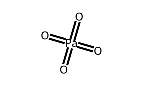 [O]=[Pa](=[O])(=[O])=[O]